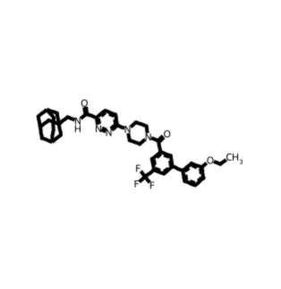 CCOc1cccc(-c2cc(C(=O)N3CCN(c4ccc(C(=O)NCC56CC7CC(CC(C7)C5)C6)nn4)CC3)cc(C(F)(F)F)c2)c1